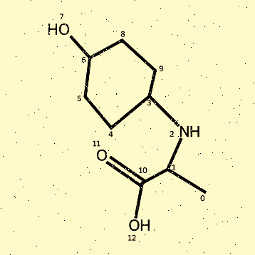 CC(NC1CCC(O)CC1)C(=O)O